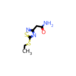 CCSc1nc(CC(N)=O)ns1